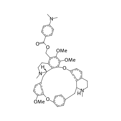 COc1ccc2cc1Oc1ccc(cc1)C[C@H]1c3cc(ccc3CCN1C)Oc1c(OC)c(OC)c(COC(=O)c3ccc(N(C)C)cc3)c3c1[C@H](C2)N(C)CC3